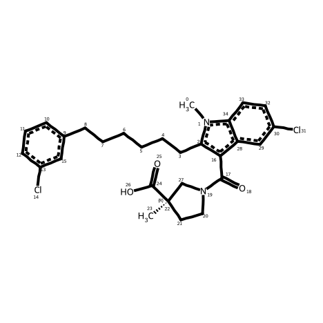 Cn1c(CCCCCCc2cccc(Cl)c2)c(C(=O)N2CC[C@@](C)(C(=O)O)C2)c2cc(Cl)ccc21